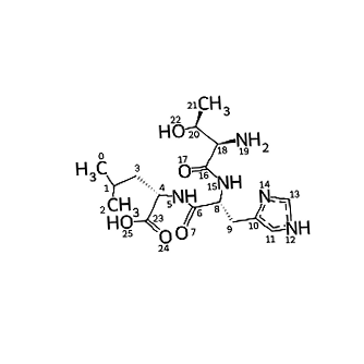 CC(C)C[C@H](NC(=O)[C@@H](Cc1c[nH]cn1)NC(=O)[C@H](N)[C@H](C)O)C(=O)O